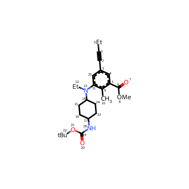 CCC#Cc1cc(C(=O)OC)c(C)c(N(CC)C2CCC(NC(=O)OC(C)(C)C)CC2)c1